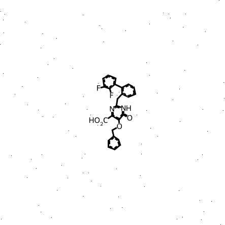 O=C(O)c1nc(Cc2ccccc2-c2cccc(F)c2F)[nH]c(=O)c1OCc1ccccc1